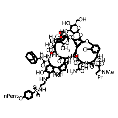 CCCCCOc1ccc(S(=O)(=O)NCCNCc2c(O)cc3c(c2O)-c2cc(ccc2O)[C@H]2NC(=O)[C@@H]4NC(=O)[C@H](CC(N)=O)NC(=O)[C@H](NC(=O)[C@@H](CC(C)C)NC)[C@H](O)c5ccc(c(Cl)c5)Oc5cc4cc(c5O[C@@H]4O[C@H](CO)[C@@H](O)[C@H](O)[C@H]4O[C@H]4C[C@](C)(N)[C@H](O)[C@H](C)O4)Oc4ccc(cc4Cl)[C@@H](O)[C@H](NC2=O)C(=O)N[C@@H]3C(=O)NC2C3CC4CC(C3)CC2C4)cc1